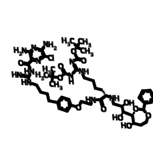 CC(C)(C)OC(=O)/N=C(\NCCCC[C@H](NC[C@H](O)[C@@H](O)[C@@H]1OC(c2ccccc2)OCC[C@H]1O)C(=O)NCCOc1ccc(CCCCNC(=N)NC(=O)c2nc(Cl)c(N)nc2N)cc1)NC(=O)OC(C)(C)C